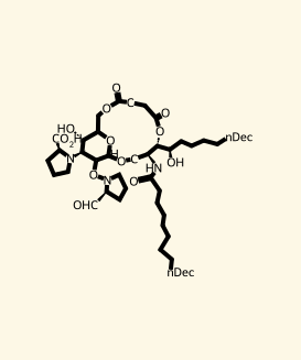 CCCCCCCCCCCCCCCCCC(=O)N[C@H]1CO[C@@H]2OC(COC(=O)CCC(=O)O[C@@H]1[C@H](O)CCCCCCCCCCCCCC)[C@@H](O)[C@H](N1CCC[C@H]1C(=O)O)C2ON1CCC[C@H]1C=O